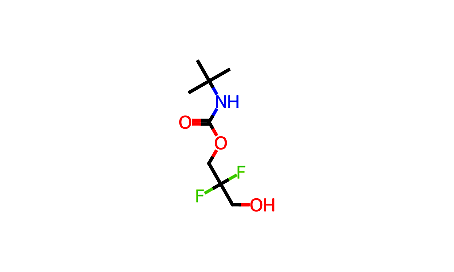 CC(C)(C)NC(=O)OCC(F)(F)CO